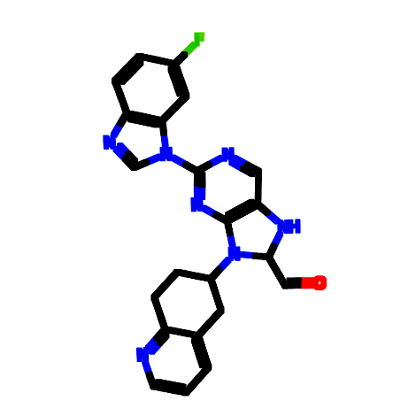 O=CC1Nc2cnc(-n3cnc4ccc(F)cc43)nc2N1C1CCc2ncccc2C1